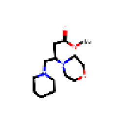 CCCCOC(=O)CC(CN1CCCCC1)N1CCOCC1